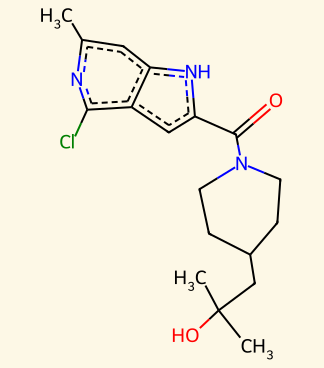 Cc1cc2[nH]c(C(=O)N3CCC(CC(C)(C)O)CC3)cc2c(Cl)n1